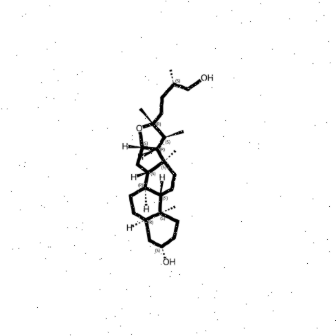 C[C@H](CO)CC[C@@]1(C)O[C@H]2C[C@H]3[C@@H]4CC[C@@H]5C[C@@H](O)CC[C@]5(C)[C@H]4CC[C@]3(C)[C@H]2[C@@H]1C